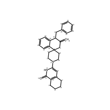 C=C1CC2(CCN(c3cc4c(c(=O)[nH]3)CCCC4)CC2)c2ccccc2C1Cc1ccccc1